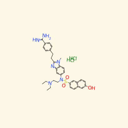 CCN(CC)CCN(c1ccc2c(c1)nc(CCc1ccc(C(=N)N)cc1)n2C)S(=O)(=O)c1ccc2cc(O)ccc2c1.Cl.Cl